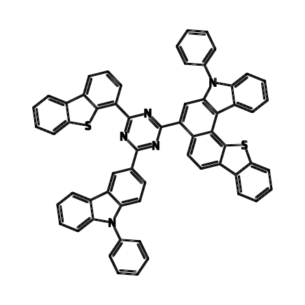 c1ccc(-n2c3ccccc3c3cc(-c4nc(-c5cc6c(c7ccccc7n6-c6ccccc6)c6c5ccc5c7ccccc7sc56)nc(-c5cccc6c5sc5ccccc56)n4)ccc32)cc1